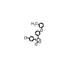 Cc1cccc(Oc2cccc(C3COC(=O)N3c3ccc(Cl)cc3)c2)c1